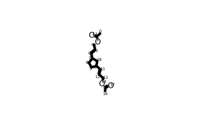 CC(=O)OC/C=C/C1CCC(/C=C/COC(C)=O)C1